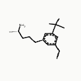 CCc1cc(CCC[C@H](C)N)cc(C(C)(C)C)c1